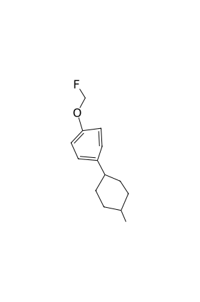 CC1CCC(c2ccc(OCF)cc2)CC1